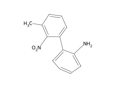 Cc1cccc(-c2ccccc2N)c1[N+](=O)[O-]